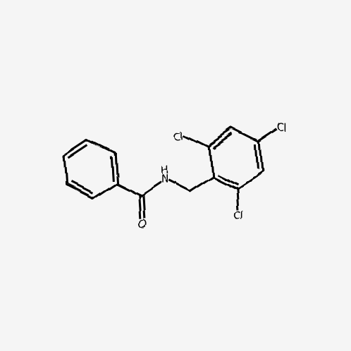 O=C(NCc1c(Cl)cc(Cl)cc1Cl)c1ccccc1